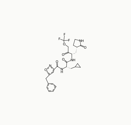 O=C(N[C@@H](CC1CC1)C(=O)N[C@@H](C[C@@H]1CCNC1=O)C(=O)COC(F)(F)F)c1cc(Cc2ccccc2)on1